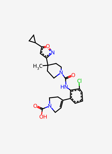 CC1(c2cc(C3CC3)on2)CCN(C(=O)Nc2c(Cl)cccc2C2=CCN(C(=O)O)CC2)CC1